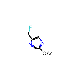 CC(=O)Oc1cnc(CF)cn1